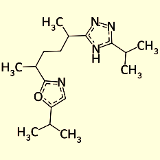 CC(C)c1nnc(C(C)CCC(C)c2ncc(C(C)C)o2)[nH]1